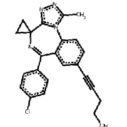 Cc1nnc2n1-c1ccc(C#CCCO)cc1C(c1ccc(Cl)cc1)=NC21CC1